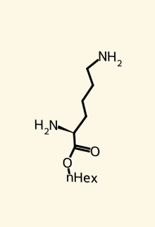 CCCCCCOC(=O)[C@@H](N)CCCCN